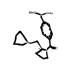 COB(OC)c1ccc(C(=O)N2CCC[C@H]2CN2CCCC2)cc1